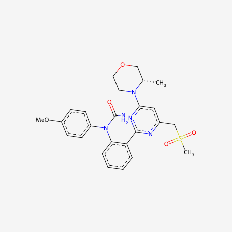 COc1ccc(N(C(N)=O)c2ccccc2-c2nc(CS(C)(=O)=O)cc(N3CCOC[C@@H]3C)n2)cc1